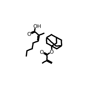 C=C(C)C(=O)OC12CC3CC(CC(C3)C1)C2.CCCCC=C(C)C(=O)O